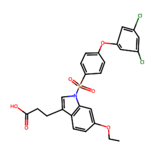 CCOc1ccc2c(CCC(=O)O)cn(S(=O)(=O)c3ccc(Oc4cc(Cl)cc(Cl)c4)cc3)c2c1